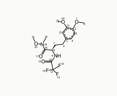 COc1ccc(CC[C@@H](NC(=O)C(F)(F)F)C(=O)N(C)OC)cc1OC